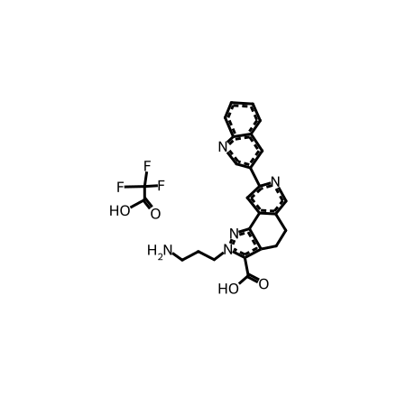 NCCCn1nc2c(c1C(=O)O)CCc1cnc(-c3cnc4ccccc4c3)cc1-2.O=C(O)C(F)(F)F